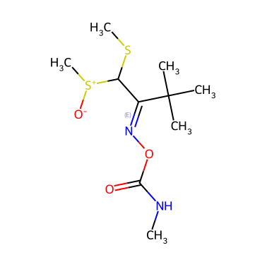 CNC(=O)O/N=C(/C(SC)[S+](C)[O-])C(C)(C)C